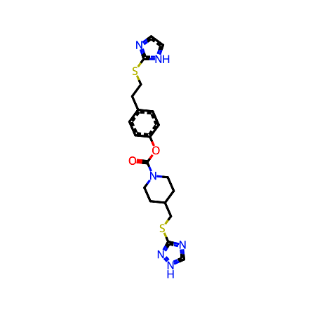 O=C(Oc1ccc(CCSc2ncc[nH]2)cc1)N1CCC(CSc2nc[nH]n2)CC1